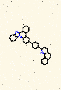 C1=Cc2c(c3nc4ccccc4n3c3ccc(-c4ccc(-c5ccc6ccc7ccccc7c6n5)cc4)cc23)CC1